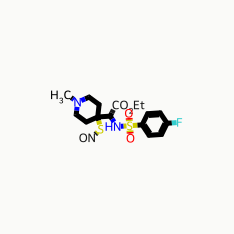 CCOC(=O)C(NS(=O)(=O)c1ccc(F)cc1)C1(SN=O)CCN(C)CC1